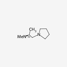 CN[C@@H](C)CN1CCCC1